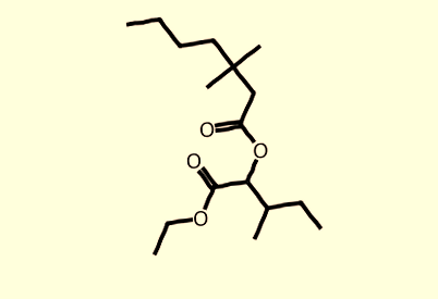 CCCCC(C)(C)CC(=O)OC(C(=O)OCC)C(C)CC